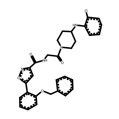 O=C(NCC(=O)N1CCC(Nc2ccccc2Cl)CC1)c1cc(-c2ccccc2OCc2ccccc2)on1